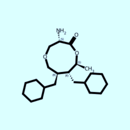 C[C@@H]1OC(=O)[C@@H](N)COC[C@H](CC2CCCCC2)[C@H]1CC1CCCCC1